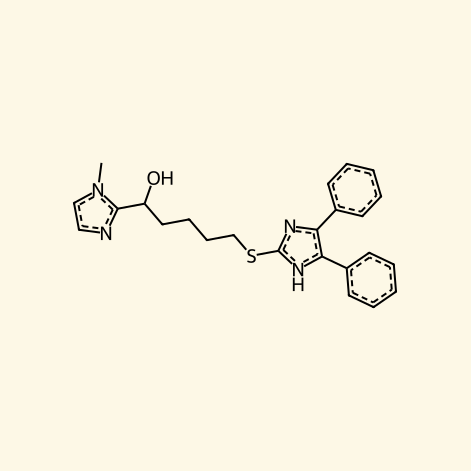 Cn1ccnc1C(O)CCCCSc1nc(-c2ccccc2)c(-c2ccccc2)[nH]1